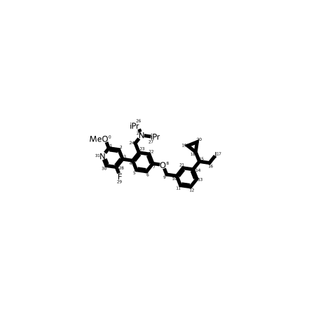 COc1cc(-c2ccc(OCc3cccc(C(CI)C4CC4)c3)cc2CN(C(C)C)C(C)C)c(F)cn1